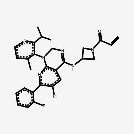 C=CC(=O)N1CC(NC2=NCN(c3c(C)ccnc3C(C)C)c3nc(-c4ccccc4F)c(Cl)cc32)C1